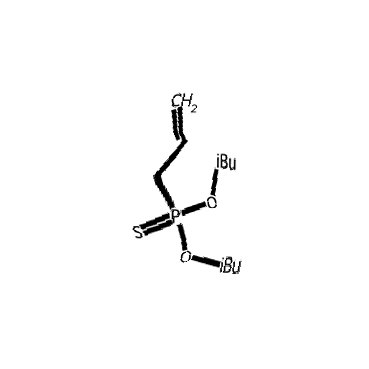 C=CCP(=S)(OC(C)CC)OC(C)CC